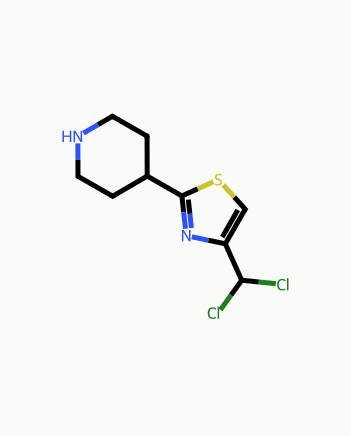 ClC(Cl)c1csc(C2CCNCC2)n1